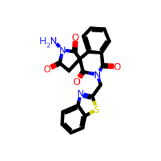 NN1C(=O)CC2(C1=O)C(=O)N(Cc1nc3ccccc3s1)C(=O)c1ccccc12